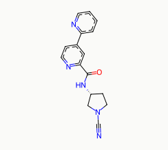 N#CN1CC[C@@H](NC(=O)c2cc(-c3ccccn3)ccn2)C1